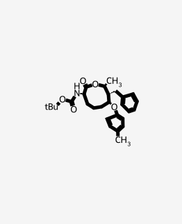 Cc1ccc(O[C@H]2CCC[C@H](NC(=O)OC(C)(C)C)C(=O)O[C@@H](C)[C@@H]2Cc2ccccc2)cc1